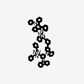 c1ccc(-c2nc(-c3ccccc3)nc(-c3cc(-n4c5ccccc5c5ccccc54)cc(-n4c5ccccc5c5cc(-c6cccc(-c7nc(-n8c9ccccc9c9c%10c%11ccccc%11n(-c%11ccccc%11)c%10c%10ccccc%10c98)nc8ccccc78)c6)ccc54)c3)n2)cc1